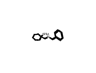 SC1(CNCc2ccccc2)CCCCC1